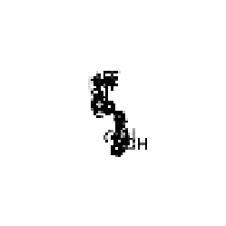 O=C(O)c1ccccc1C(=O)NCCn1cc(-c2ccc3c(c2)OCCc2sc(-c4ncnn4CC(F)(F)F)nc2-3)cn1